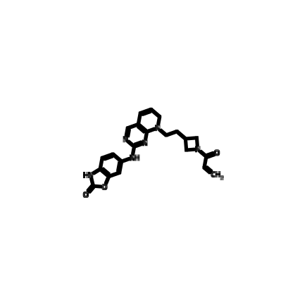 C=CC(=O)N1CC(CCN2CC=Cc3cnc(Nc4ccc5[nH]c(=O)oc5c4)nc32)C1